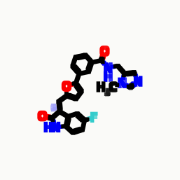 Cn1cncc1CNC(=O)c1cccc(-c2ccc(/C=C3/C(=O)Nc4ccc(F)cc43)o2)c1